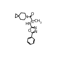 C[C@@H](Nc1nnc(-c2ccccc2)o1)C(=O)N1CCC2(CC1)CC2